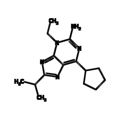 CCn1c(N)nc(C2CCCC2)c2nc(C(C)C)nc1-2